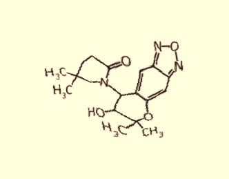 CC1(C)CCC(=O)N(C2c3cc4nonc4cc3OC(C)(C)C2O)C1